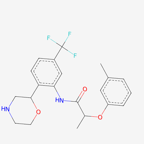 Cc1cccc(OC(C)C(=O)Nc2cc(C(F)(F)F)ccc2C2CNCCO2)c1